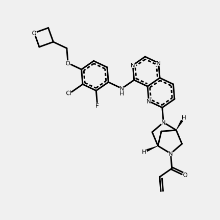 C=CC(=O)N1C[C@@H]2C[C@H]1CN2c1ccc2ncnc(Nc3ccc(OCC4COC4)c(Cl)c3F)c2n1